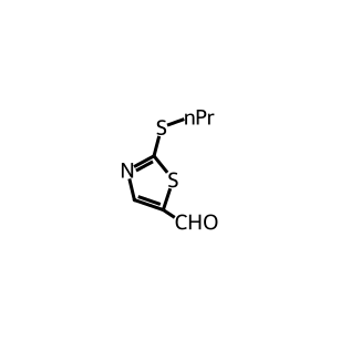 CCCSc1ncc(C=O)s1